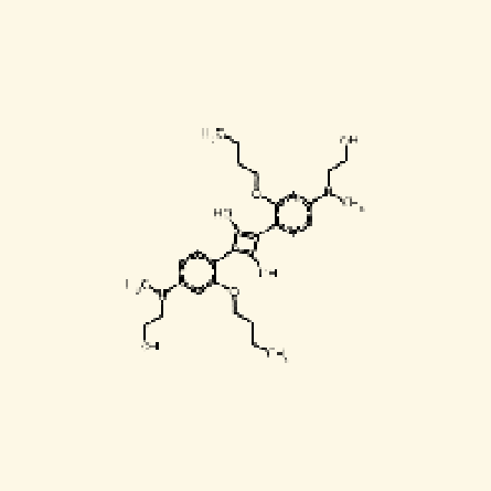 CCCCOc1cc(N(C)CCO)ccc1C1=C(O)C(c2ccc(N(C)CCO)cc2OCCCC)=C1O